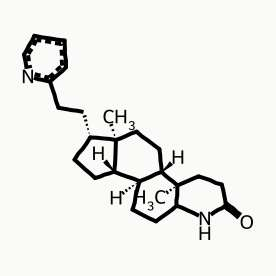 C[C@]12CC[C@H]3[C@@H](CCC4NC(=O)CC[C@@]43C)[C@@H]1CC[C@@H]2CCc1ccccn1